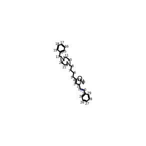 C(=C\c1cc(CCCCN2CCN(Cc3ccccc3)CC2)on1)/c1ccccc1